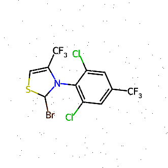 FC(F)(F)C1=CSC(Br)N1c1c(Cl)cc(C(F)(F)F)cc1Cl